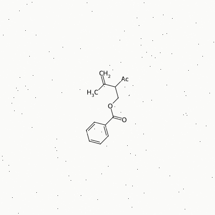 C=C(C)C(COC(=O)c1ccccc1)C(C)=O